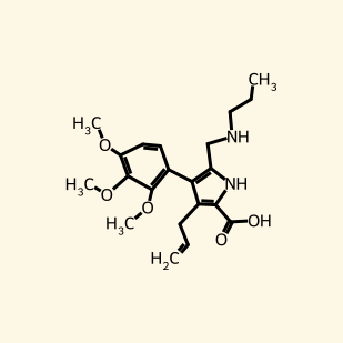 C=CCc1c(C(=O)O)[nH]c(CNCCC)c1-c1ccc(OC)c(OC)c1OC